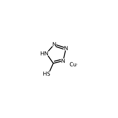 Sc1nnn[nH]1.[Cu]